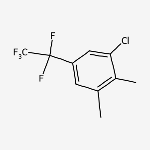 Cc1cc(C(F)(F)C(F)(F)F)cc(Cl)c1C